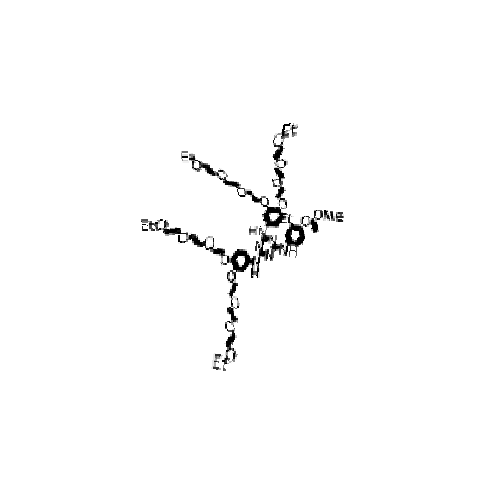 C=C(OC)Oc1ccc(Nc2nc(Nc3ccc(OCCOCCOCCOCC)c(OCCOCCOCCOCC)c3)nc(Nc3ccc(OCCOCCOCCOCC)c(OCCOCCOCCOCC)c3)n2)cc1CC